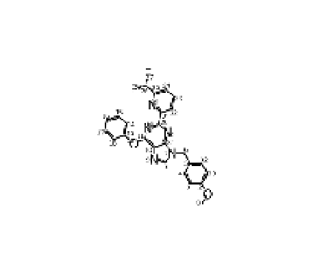 COc1ccc(Cn2cnc3c(Oc4ccccc4)nc(-c4cccc(C(F)F)n4)nc32)cc1